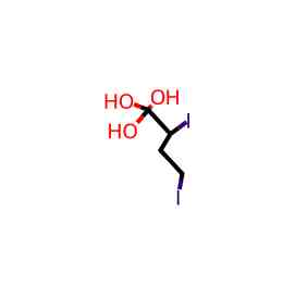 OC(O)(O)C(I)CCI